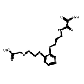 CNC(=O)C(=O)NCCCCc1ccccc1CCCOCC(=O)OC